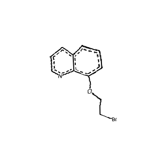 BrCCOc1cccc2cccnc12